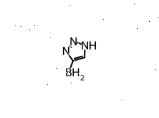 Bc1c[nH]nn1